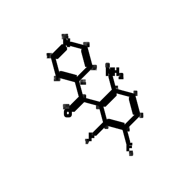 Nc1ccc(F)c(F)c1C(=O)c1ccncc1